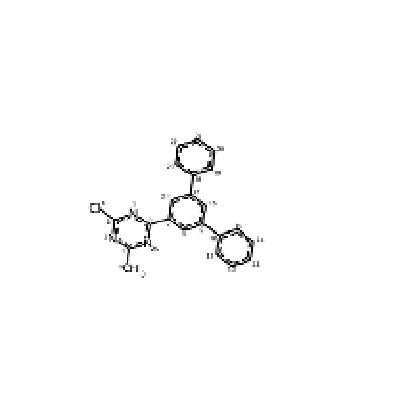 Cc1nc(Cl)nc(-c2cc(-c3ccccc3)cc(-c3ccccc3)c2)n1